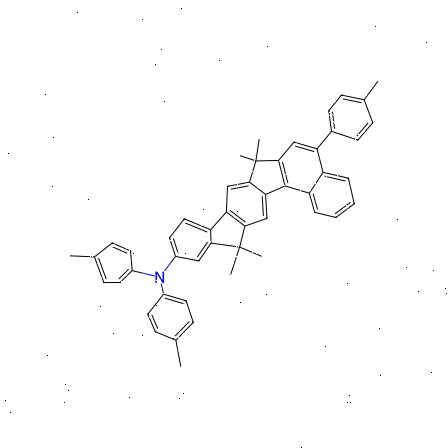 Cc1ccc(-c2cc3c(c4ccccc24)-c2cc4c(cc2C3(C)C)-c2ccc(N(c3ccc(C)cc3)c3ccc(C)cc3)cc2C4(C)C)cc1